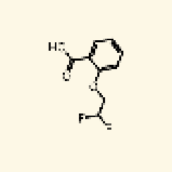 O=C(O)c1ccccc1OCC(F)F